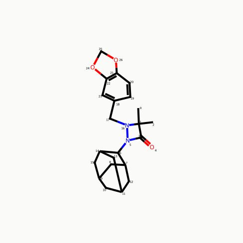 CC1(C)C(=O)N(C2C3CC4CC(C3)CC2C4)N1Cc1ccc2c(c1)OCO2